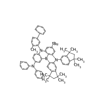 Cc1ccc(-c2ccccc2)cc1N1c2ccc(N(c3ccccc3)c3ccccc3)cc2B2c3cc4c(cc3N(c3ccc5c(c3)C(C)(C)CC5(C)C)c3cc(C(C)(C)C)cc1c32)C(C)(C)CC4(C)C